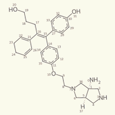 N[C@]12CNC[C@H]1CN(CCOc1ccc(/C(=C(/CCCO)C3=CCCC=C3)c3ccc(O)cc3)cc1)C2